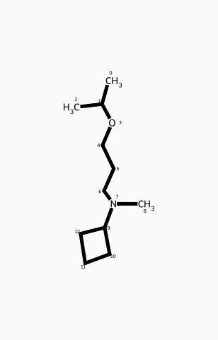 CC(C)OCCCN(C)C1CCC1